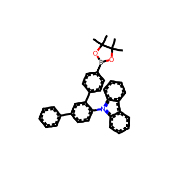 CC1(C)OB(c2ccc(-c3cc(-c4ccccc4)ccc3-n3c4ccccc4c4ccccc43)cc2)OC1(C)C